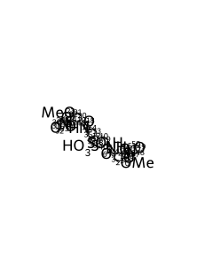 COc1ccc(C(=O)Nc2ccc(-c3ccc(NC(=O)c4ccc(OC)c(S(=O)(=O)N5CCOCC5)c4)cc3S(=O)(=O)O)c(S(=O)(=O)O)c2)cc1S(=O)(=O)N1CCOCC1